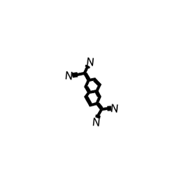 N#CC(C#N)=c1ccc2cc(=C(C#N)C#N)ccc2c1